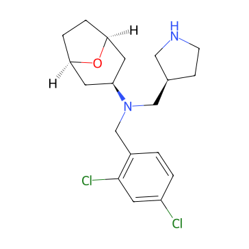 Clc1ccc(CN(C[C@@H]2CCNC2)[C@H]2C[C@H]3CC[C@@H](C2)O3)c(Cl)c1